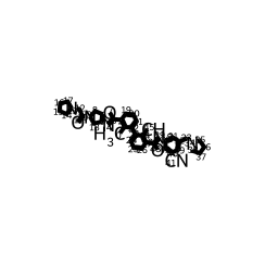 Cc1c(-c2nc3c(o2)CN(C(=O)CN2CCCC2)C3)cccc1-c1cccc(-c2nc3cc(CN4CCCC4)cc(C#N)c3o2)c1C